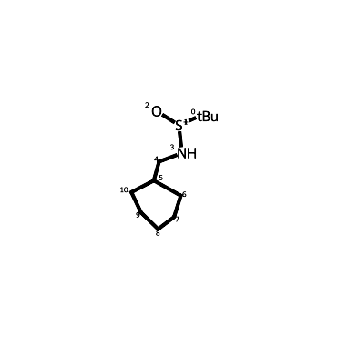 CC(C)(C)[S+]([O-])NCC1CCCCC1